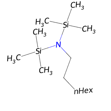 CCCCCCCCN([Si](C)(C)C)[Si](C)(C)C